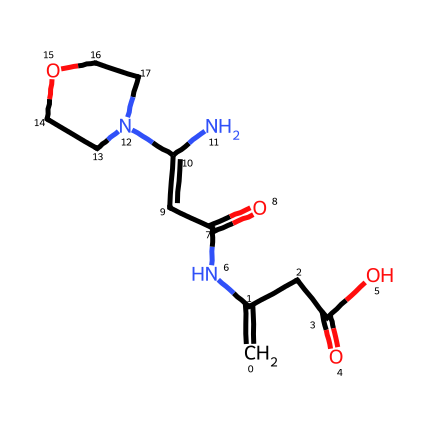 C=C(CC(=O)O)NC(=O)/C=C(\N)N1CCOCC1